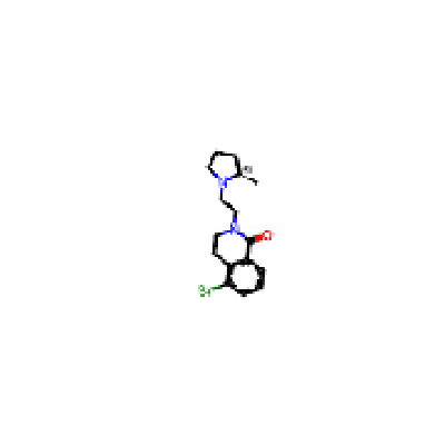 C[C@@H]1CCCN1CCN1CCc2c(Br)cccc2C1=O